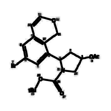 CC(=O)OC1CC(c2cc(Br)cc3c2COC=C3)N(C(=O)OC(C)(C)C)C1